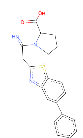 N=C(Cc1nc2cc(-c3ccccc3)ccc2s1)N1CCCC1C(=O)O